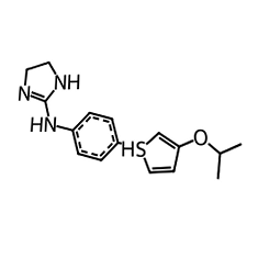 CC(C)OC1=C[SH](c2ccc(NC3=NCCN3)cc2)C=C1